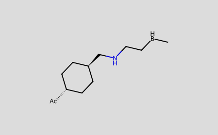 CBCCNC[C@H]1CC[C@H](C(C)=O)CC1